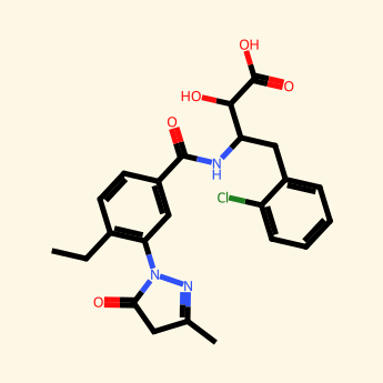 CCc1ccc(C(=O)NC(Cc2ccccc2Cl)C(O)C(=O)O)cc1N1N=C(C)CC1=O